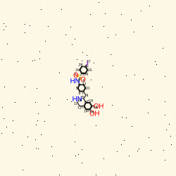 O=S(=O)(Nc1ccc(CC2NCCc3cc(O)c(O)cc32)cc1)c1ccc(I)cc1